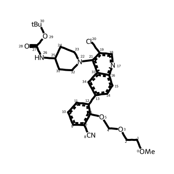 COCCOCOc1c(C#N)cccc1-c1ccc2ncc(Cl)c(N3CCC(NC(=O)OC(C)(C)C)CC3)c2c1